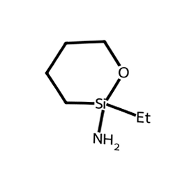 CC[Si]1(N)CCCCO1